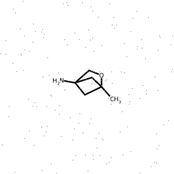 CC12CC(N)(CO1)C2